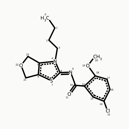 CCCCn1c2c(sc1=NC(=O)c1cc(Cl)ccc1OC)COC2